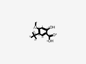 COc1cc(O)c(C(=O)O)cc1C(C)(C)C